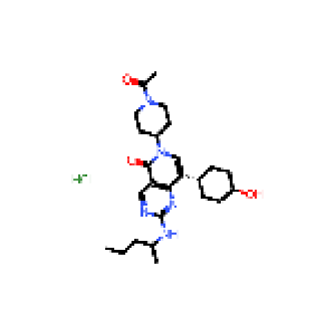 CCCC(C)Nc1ncc2c(=O)n(C3CCN(C(C)=O)CC3)cc([C@H]3CC[C@H](O)CC3)c2n1.Cl